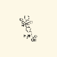 NC(Cc1ccc(NS(=O)(=O)c2c(Cl)cccc2Cl)cc1)C(=O)O